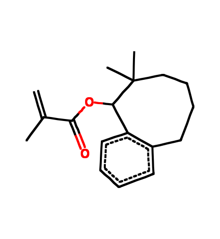 C=C(C)C(=O)OC1c2ccccc2CCCCC1(C)C